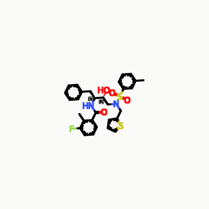 Cc1cccc(S(=O)(=O)N(Cc2cccs2)C[C@@H](O)[C@H](Cc2ccccc2)NC(=O)c2cccc(F)c2C)c1